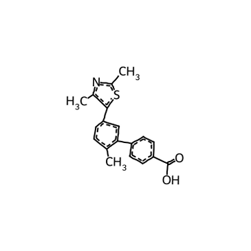 Cc1nc(C)c(-c2ccc(C)c(-c3ccc(C(=O)O)cc3)c2)s1